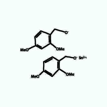 COc1ccc(C[O-])c(OC)c1.COc1ccc(C[O-])c(OC)c1.[Sn+2]